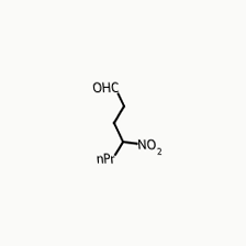 CCCC(CCC=O)[N+](=O)[O-]